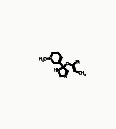 CC=C(CC)OC1(C2=CCCN(C)C2)C=NSN1